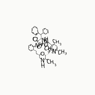 COC(=O)NC(C(=O)Nc1ccccc1CC[C@@H]1CN[C@H](C)[C@@H](CSc2nc(C)cc(C)c2C#N)O1)C(c1ccccc1)c1ccccc1